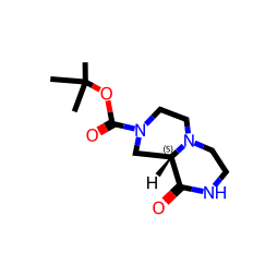 CC(C)(C)OC(=O)N1CCN2CCNC(=O)[C@@H]2C1